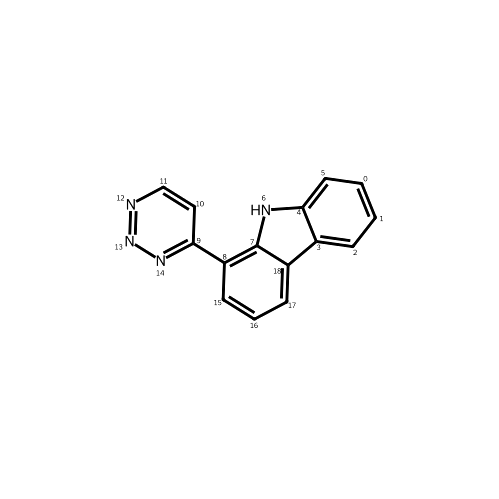 c1ccc2c(c1)[nH]c1c(-c3ccnnn3)cccc12